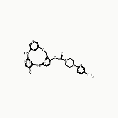 Cc1ccc(N2CCN(C(=O)COc3ccc4cc3CCc3cncc(c3)Nc3ncc(Cl)c(n3)N4)CC2)nc1